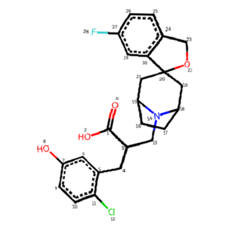 O=C(O)C(Cc1cc(O)ccc1Cl)CN1C2CCC1CC1(C2)OCc2ccc(F)cc21